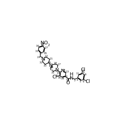 O=C(NCc1cc(Cl)cc(Cl)c1)c1cnc(N2CCN(C3CCN(Cc4ccc([N+](=O)[O-])cc4)CC3)CC2)c(Cl)c1